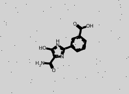 NC(=O)c1nc(-c2cccc(C(=O)O)c2)[nH]c1O